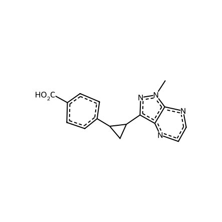 Cn1nc(C2CC2c2ccc(C(=O)O)cc2)c2nccnc21